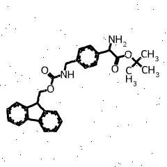 CC(C)(C)OC(=O)C(N)c1ccc(CNC(=O)OCC2c3ccccc3-c3ccccc32)cc1